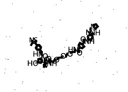 Cc1ncsc1-c1ccc(CNC(=O)[C@@H]2C[C@@H](O)CN2C(=O)[C@@H](NC(=O)CCOCCOCCOCCNC(=O)c2ccc(C(=O)Nc3ccc4[nH]c(CN5CCC[C@@H]5C)nc4c3)cc2)C(C)(C)C)cc1